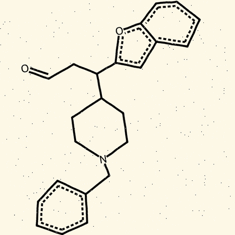 O=CCC(c1cc2ccccc2o1)C1CCN(Cc2ccccc2)CC1